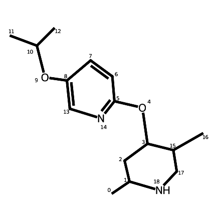 CC1CC(Oc2ccc(OC(C)C)cn2)C(C)CN1